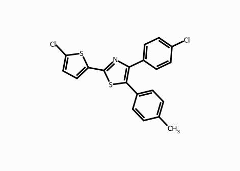 Cc1ccc(-c2sc(-c3ccc(Cl)s3)nc2-c2ccc(Cl)cc2)cc1